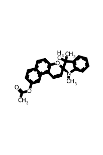 CC(=O)Oc1ccc2ccc3c(c2c1)C=CC1(O3)N(C)c2ccccc2C1(C)C